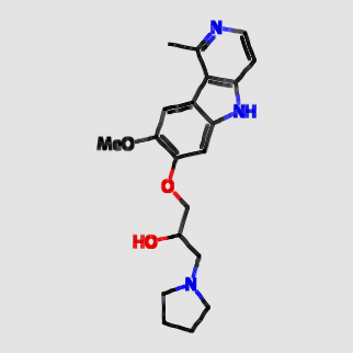 COc1cc2c(cc1OCC(O)CN1CCCC1)[nH]c1ccnc(C)c12